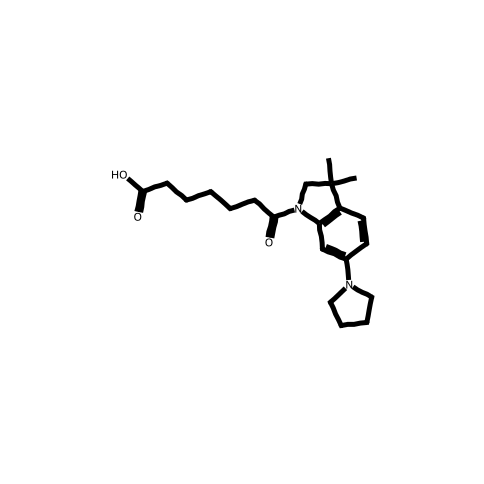 CC1(C)CN(C(=O)CCCCCC(=O)O)c2cc(N3CCCC3)ccc21